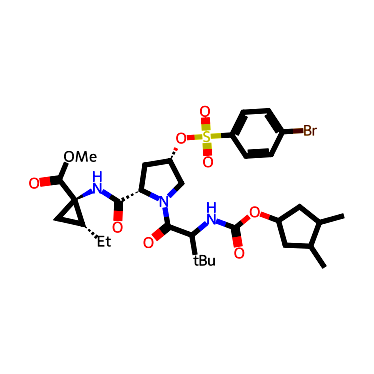 CC[C@@H]1C[C@]1(NC(=O)[C@@H]1C[C@H](OS(=O)(=O)c2ccc(Br)cc2)CN1C(=O)C(NC(=O)OC1CC(C)C(C)C1)C(C)(C)C)C(=O)OC